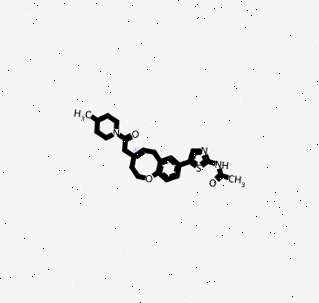 CC(=O)Nc1ncc(-c2ccc3c(c2)C/C=C(/CC(=O)N2CCC(C)CC2)CCO3)s1